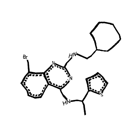 CC(Nc1nc(NCC2CCCCC2)nc2c(Br)cccc12)c1cccs1